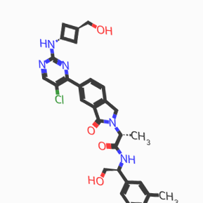 Cc1cccc([C@@H](CO)NC(=O)[C@@H](C)N2Cc3ccc(-c4nc(N[C@H]5C[C@H](CO)C5)ncc4Cl)cc3C2=O)c1